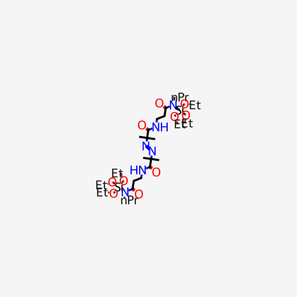 CCCN(C(=O)CCNC(=O)C(C)(C)N=NC(C)(C)C(=O)NCCC(=O)N(CCC)[Si](OCC)(OCC)OCC)[Si](OCC)(OCC)OCC